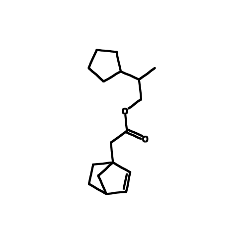 CC(COC(=O)CC12C=CC(CC1)C2)C1CCCC1